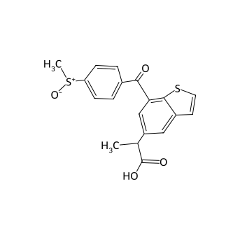 CC(C(=O)O)c1cc(C(=O)c2ccc([S+](C)[O-])cc2)c2sccc2c1